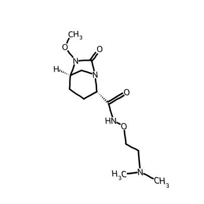 CON1C(=O)N2C[C@H]1CC[C@H]2C(=O)NOCCN(C)C